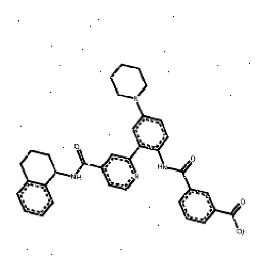 O=C(O)c1cccc(C(=O)Nc2ccc(N3CCCCC3)cc2-c2cc(C(=O)NC3CCCc4ccccc43)ccn2)c1